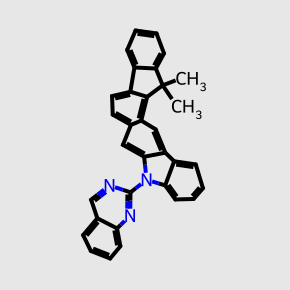 CC1(C)c2ccccc2-c2ccc3cc4c(cc3c21)c1ccccc1n4-c1ncc2ccccc2n1